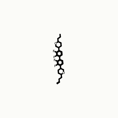 C=CCCC1CCC(c2ccc(-c3ccc(C4CCC(CCC)OC4)c(F)c3F)c(F)c2F)CO1